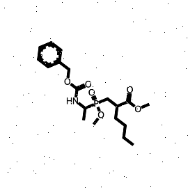 CCCCC(CP(=O)(OC)C(C)NC(=O)OCc1ccccc1)C(=O)OC